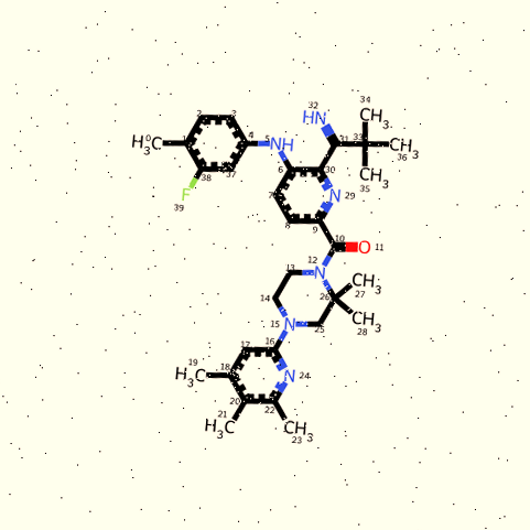 Cc1ccc(Nc2ccc(C(=O)N3CCN(c4cc(C)c(C)c(C)n4)CC3(C)C)nc2C(=N)C(C)(C)C)cc1F